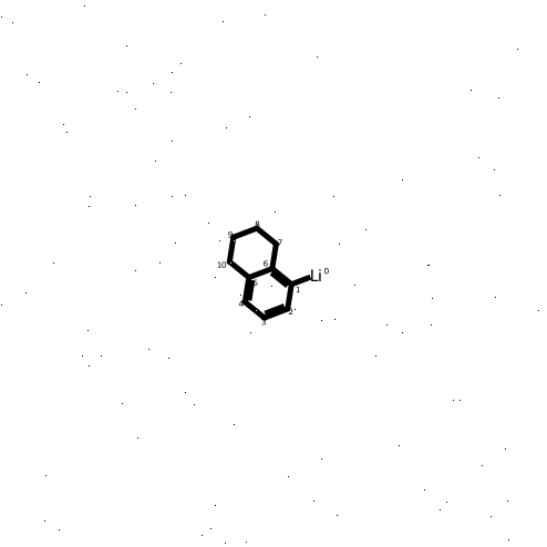 [Li][c]1cccc2c1CCCC2